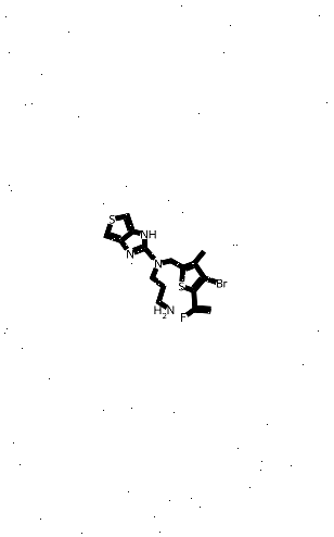 C=C(F)c1sc(CN(CCCN)c2nc3cscc3[nH]2)c(C)c1Br